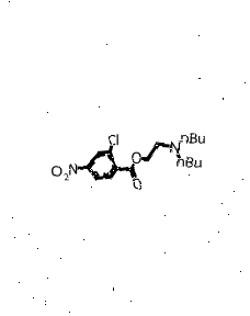 CCCCN(CCCC)CCOC(=O)c1ccc([N+](=O)[O-])cc1Cl